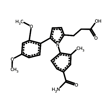 COc1ccc(-c2ccc(CCC(=O)O)n2-c2ccc(C(N)=O)cc2C)c(OC)c1